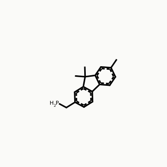 Cc1ccc2c(c1)C(C)(C)c1cc(CP)ccc1-2